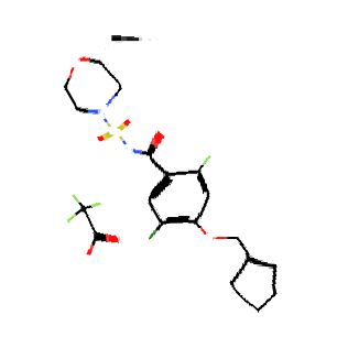 CNC[C@@H]1CN(S(=O)(=O)NC(=O)c2cc(Cl)c(OCC3CCCC3)cc2F)CCO1.O=C(O)C(F)(F)F